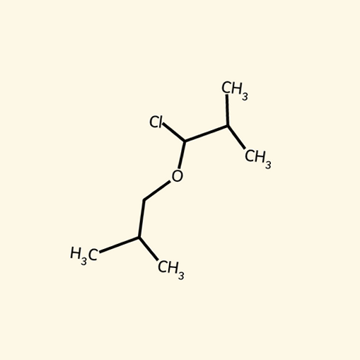 CC(C)COC(Cl)C(C)C